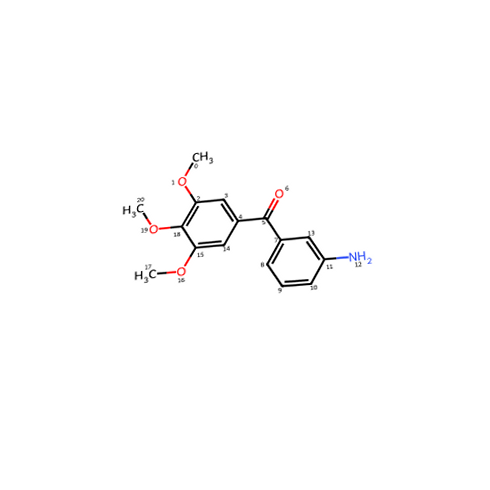 COc1cc(C(=O)c2cccc(N)c2)cc(OC)c1OC